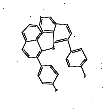 Fc1ccc(-c2ccc3ccccc3c2Sc2c(-c3ccc(F)cc3)ccc3ccccc23)cc1